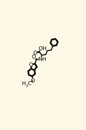 COc1ccc2oc(C(=O)NC(CCCc3ccccc3)C(=O)O)cc2c1